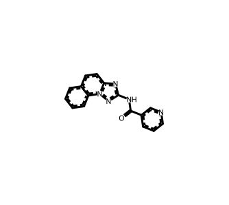 O=C(Nc1nc2ccc3ccccc3n2n1)c1cccnc1